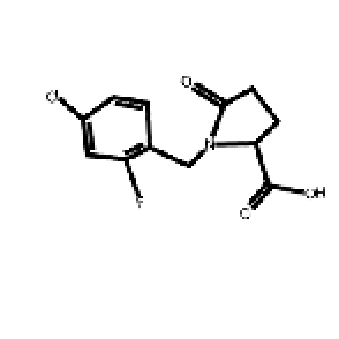 O=C(O)C1CCC(=O)N1Cc1ccc(Cl)cc1F